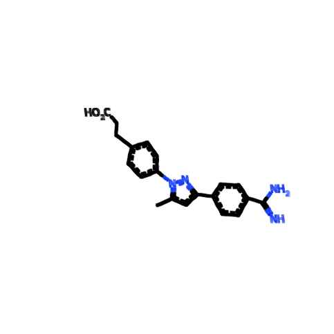 Cc1cc(-c2ccc(C(=N)N)cc2)nn1-c1ccc(CCC(=O)O)cc1